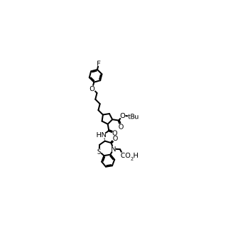 CC(C)(C)OC(=O)C1CC(CCCCOc2ccc(F)cc2)CC1C(=O)N[C@H]1CSc2ccccc2N(CC(=O)O)C1=O